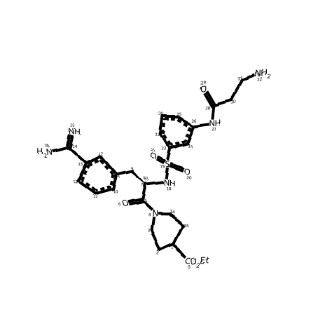 CCOC(=O)C1CCN(C(=O)[C@@H](Cc2cccc(C(=N)N)c2)NS(=O)(=O)c2cccc(NC(=O)CCN)c2)CC1